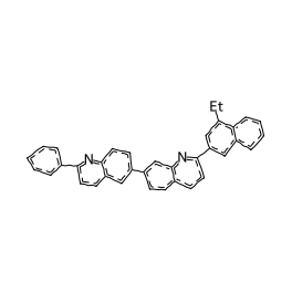 CCc1cc(-c2ccc3ccc(-c4ccc5nc(-c6ccccc6)ccc5c4)cc3n2)cc2ccccc12